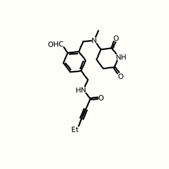 CCC#CC(=O)NCc1ccc(C=O)c(CN(C)C2CCC(=O)NC2=O)c1